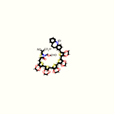 CCN1c2ccccc2CCc2cc(-c3sc(-c4sc(-c5sc(-c6sc(-c7sc(/C=c8/s/c(=C(\C#N)C(=O)O)n(COC=O)c8=O)c8c7OCCO8)c7c6OCCO7)c6c5OCCO6)c5c4OCCO5)c4c3OCCO4)ccc21